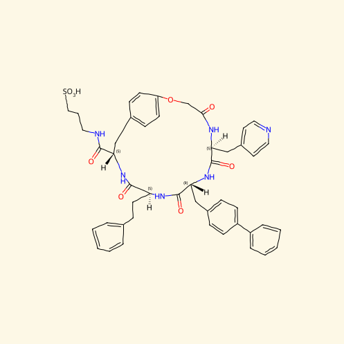 O=C1COc2ccc(cc2)C[C@@H](C(=O)NCCCS(=O)(=O)O)NC(=O)[C@H](CCc2ccccc2)NC(=O)[C@@H](Cc2ccc(-c3ccccc3)cc2)NC(=O)[C@H](Cc2ccncc2)N1